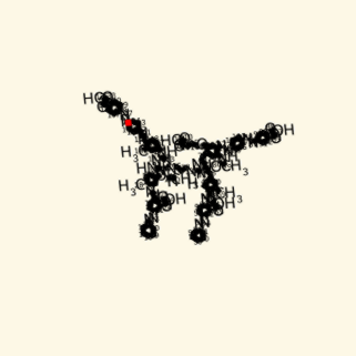 CCCOc1cc(N=Nc2ccc(N=Nc3ccccc3)cc2S(=O)(=O)O)c(C)cc1Nc1nc(NCCCNc2nc(Cc3ccc(N=Nc4ccc(N=Nc5ccccc5)cc4S(=O)(=O)O)c(C)c3)nc(Cc3cc(NC(C)=O)c(N=Nc4ccc(N=Nc5ccc(S(=O)(=O)O)cc5)cc4)cc3OCCCS(=O)(=O)O)n2)nc(Nc2ccc(N=Nc3ccc(N=Nc4ccc(S(=O)(=O)O)cc4)cc3)c(C)c2)n1